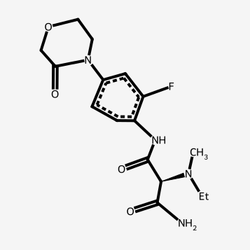 CCN(C)[C@@H](C(N)=O)C(=O)Nc1ccc(N2CCOCC2=O)cc1F